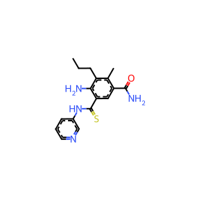 CCCc1c(C)c(C(N)=O)cc(C(=S)Nc2cccnc2)c1N